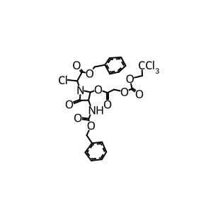 O=C(COC(=O)OCC(Cl)(Cl)Cl)OC1C(NC(=O)OCc2ccccc2)C(=O)N1C(Cl)C(=O)OCc1ccccc1